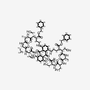 CC(C)C[C@H](NC(=O)[C@H](CC(C)C)NC(=O)[C@H](C)NC(=O)[C@H](CO)N(CCNc1ccc(NCCN(C(=O)OCc2ccccc2)[C@@H](CO)C(=O)N[C@@H](C)C(=O)N[C@@H](CC(C)C)C(=O)N[C@@H](CC(C)C)C(N)=O)c2c1C(=O)c1c(O)ccc(O)c1C2=O)C(=O)OCc1ccccc1)C(N)=O